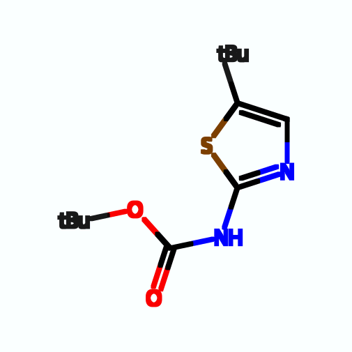 CC(C)(C)OC(=O)Nc1ncc(C(C)(C)C)s1